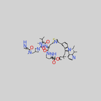 CCn1c(-c2cccnc2C(C)C)c2c3cc(ccc31)-c1csc(n1)C[C@H](NC(=O)[C@H](C(C)C)N(C)C(=O)N1CC(CN(C)C(=O)[C@H]3CN3)C1)C(=O)N1CCC[C@H](N1)C(=O)OCC(C)(C)C2